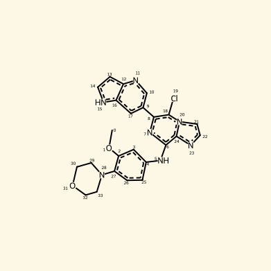 COc1cc(Nc2nc(-c3cnc4cc[nH]c4c3)c(Cl)n3ccnc23)ccc1N1CCOCC1